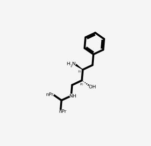 CCCC(CCC)NC[C@@H](O)[C@@H](N)Cc1ccccc1